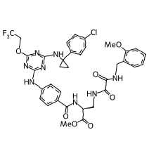 COC(=O)[C@H](CNC(=O)C(=O)NCc1ccccc1OC)NC(=O)c1ccc(Nc2nc(NC3(c4ccc(Cl)cc4)CC3)nc(OCC(F)(F)F)n2)cc1